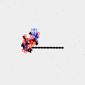 [C-]#[N+]CCOP(=O)(OC[C@H]1O[C@@H](n2ccc(=O)n(C(=O)c3cc(C)c(C)c(OC#CC#CC#CC#CC#CC#CC#CC#CC#CC#CC#C)c3)c2=O)[C@@H](O[Si](C)(C)C(C)(C)C)C1OC(=O)CCC(C)=O)OC1[C@@H](CO)O[C@@H](n2cnc3c(=O)[nH]c(NC(=O)C(C)C)nc32)[C@H]1O[Si](C)(C)C(C)(C)C